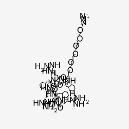 [N-]=[N+]=NCCOCCOCCOCCOCCOCCOCCC(=O)N[C@@H](CC1CCCCC1)C(=O)N[C@H](CCCNC(=N)N)C(=O)N[C@@H](CC1CCCCC1)C(=O)N[C@H](CCCNC(=N)N)C(=O)N[C@@H](CC1CCCCC1)C(=O)N[C@H](CCCNC(=N)N)C(N)=O